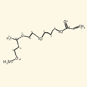 C=CC(=O)OCCCOCCOC(C)CCO[SiH3]